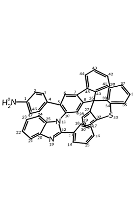 Nc1ccc(-c2cc3c(cc2-n2c(-c4ccccc4)nc4ccccc42)C2(c4ccccc4Sc4ccccc42)c2ccccc2-3)cc1